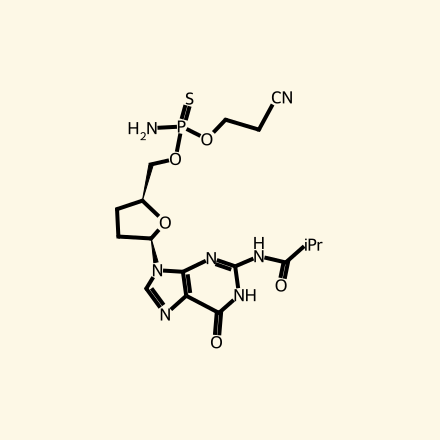 CC(C)C(=O)Nc1nc2c(ncn2[C@H]2CC[C@@H](COP(N)(=S)OCCC#N)O2)c(=O)[nH]1